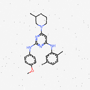 COc1ccc(Nc2nc(Nc3cc(C)ccc3C)cc(N3CCCC(C)C3)n2)cc1